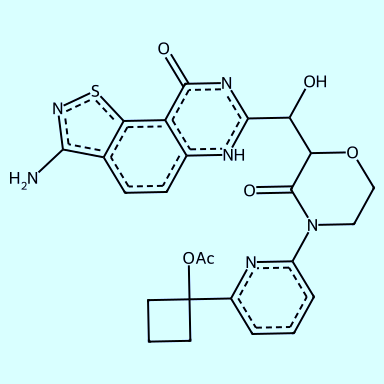 CC(=O)OC1(c2cccc(N3CCOC(C(O)c4nc(=O)c5c(ccc6c(N)nsc65)[nH]4)C3=O)n2)CCC1